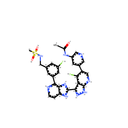 CCCC(=O)Nc1cncc(-c2cnc3[nH]nc(-c4nc5c(-c6cc(F)cc(CNS(C)(=O)=O)c6)nccc5[nH]4)c3c2F)c1